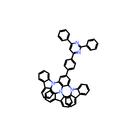 c1ccc(-c2cc(-c3ccc(-c4cc(-n5c6ccccc6c6ccccc65)c(-n5c6ccccc6c6ccccc65)c(-n5c6ccccc6c6ccccc65)c4)cc3)nc(-c3ccccc3)n2)cc1